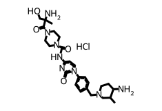 CC1CN(Cc2ccc(-n3ccc(NC(=O)N4CCN(C(=O)C(C)(N)CO)CC4)nc3=O)cc2)CCC1N.Cl